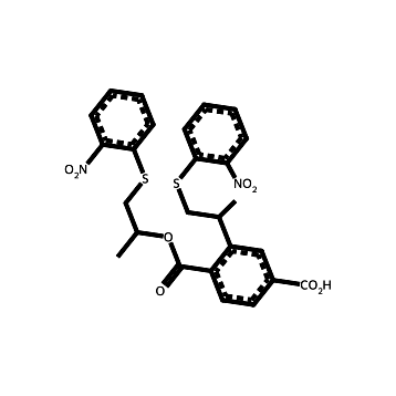 CC(CSc1ccccc1[N+](=O)[O-])OC(=O)c1ccc(C(=O)O)cc1C(C)CSc1ccccc1[N+](=O)[O-]